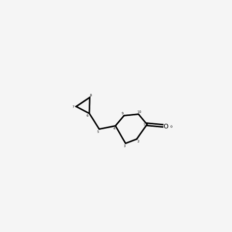 O=C1CCC(CC2CC2)CC1